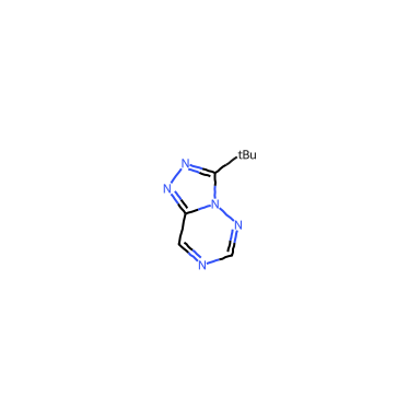 CC(C)(C)c1nnc2cncnn12